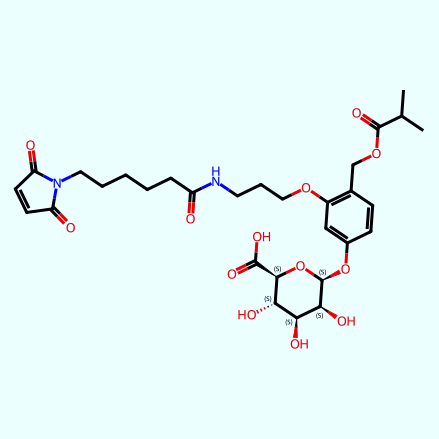 CC(C)C(=O)OCc1ccc(O[C@@H]2O[C@H](C(=O)O)[C@@H](O)[C@H](O)[C@@H]2O)cc1OCCCNC(=O)CCCCCN1C(=O)C=CC1=O